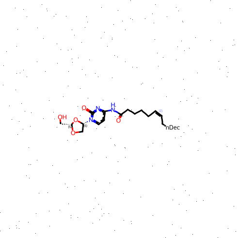 CCCCCCCCCCC/C=C\CCCCC(=O)Nc1ccn([C@@H]2CO[C@H](CO)O2)c(=O)n1